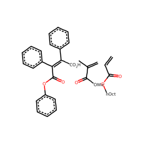 C=C(C)C(=O)OC.C=CC(=O)OCCCCCCCC.O=C(O)/C(=C(\C(=O)Oc1ccccc1)c1ccccc1)c1ccccc1